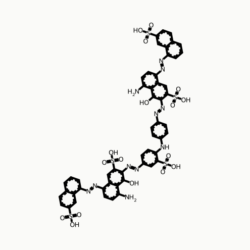 Nc1ccc(N=Nc2cccc3ccc(S(=O)(=O)O)cc23)c2cc(S(=O)(=O)O)c(N=Nc3ccc(Nc4ccc(N=Nc5c(S(=O)(=O)O)cc6c(N=Nc7cccc8ccc(S(=O)(=O)O)cc78)ccc(N)c6c5O)cc4S(=O)(=O)O)cc3)c(O)c12